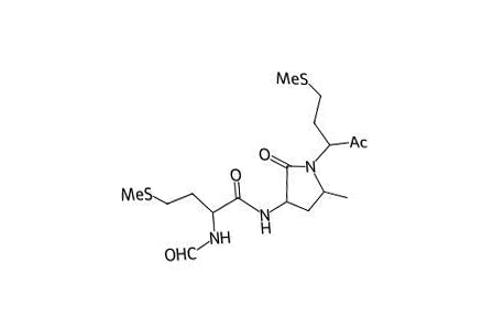 CSCCC(NC=O)C(=O)NC1CC(C)N(C(CCSC)C(C)=O)C1=O